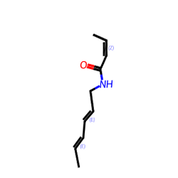 C/C=C\C(=O)NC/C=C/C=C/C